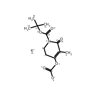 CC1=C(OC(=O)[O-])CCN(C(=O)OC(C)(C)C)C1=O.[K+]